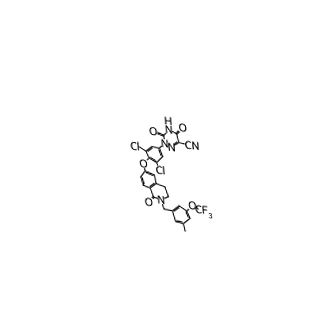 Cc1cc(CN2CCc3cc(Oc4c(Cl)cc(-n5nc(C#N)c(=O)[nH]c5=O)cc4Cl)ccc3C2=O)cc(OC(F)(F)F)c1